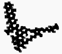 CC[C@H](C)[C@@H](C(CC(=O)N1CC2(CC2)C[C@H]1[C@H](OC)[C@@H](C)C(=O)N[C@@H](Cc1ccccc1)C(=O)O)OC)N(C)C(=O)[C@@H](NC(=O)[C@H](C(C)C)N(C)C(=O)CCCCCN1C(=O)CC(SCCCC(C)(C)C2C#C2)C1=O)C(C)C